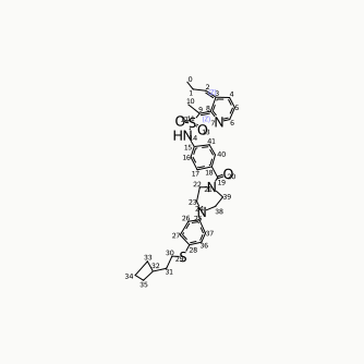 CC/C=c1/cccn/c1=C(/C)S(=O)(=O)Nc1ccc(C(=O)N2CCN(c3ccc(SCCC4CCC4)cc3)CC2)cc1